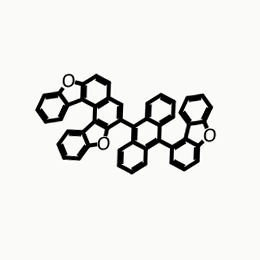 c1ccc2c(c1)oc1cccc(-c3c4ccccc4c(-c4cc5ccc6oc7ccccc7c6c5c5c4oc4ccccc45)c4ccccc34)c12